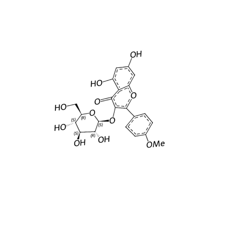 COc1ccc(-c2oc3cc(O)cc(O)c3c(=O)c2O[C@@H]2O[C@H](CO)[C@@H](O)[C@H](O)[C@H]2O)cc1